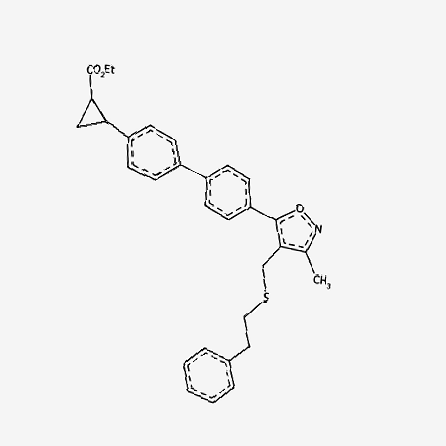 CCOC(=O)C1CC1c1ccc(-c2ccc(-c3onc(C)c3CSCCc3ccccc3)cc2)cc1